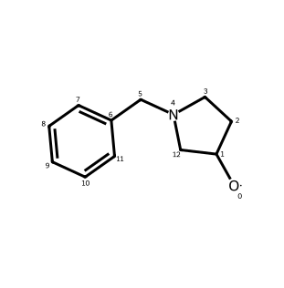 [O]C1CCN(Cc2ccccc2)C1